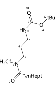 CCCCCCCC(=O)N(C)CCCNC(=O)OC(C)(C)C